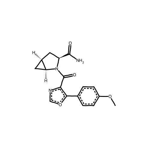 COc1ccc(-c2ocnc2C(=O)N2[C@H](C(N)=O)C[C@@H]3C[C@@H]32)cc1